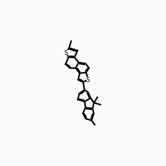 Cc1ccc2c(c1)C(C)(C)c1cc(-c3cc4c(ccc5c6cc(C)sc6ccc45)s3)ccc1-2